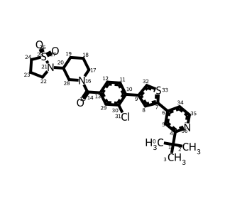 CC(C)(C)c1cc(-c2cc(-c3ccc(C(=O)N4CCCC(N5CCCS5(=O)=O)C4)cc3Cl)cs2)ccn1